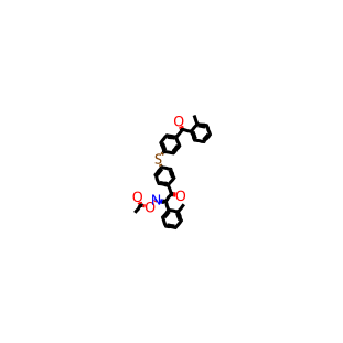 CC(=O)ON=C(C(=O)c1ccc(Sc2ccc(C(=O)c3ccccc3C)cc2)cc1)c1ccccc1C